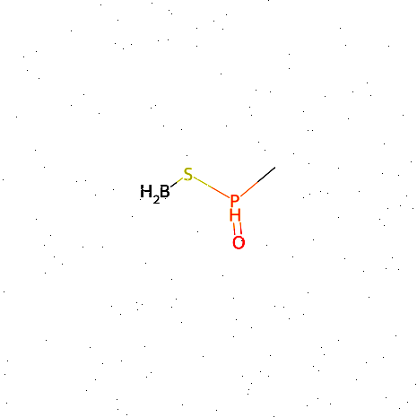 BS[PH](C)=O